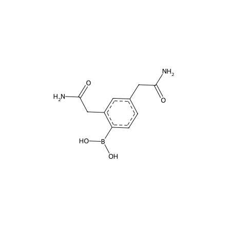 NC(=O)Cc1ccc(B(O)O)c(CC(N)=O)c1